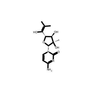 CC(C)=C(O)[C@H]1O[C@@H](n2ccc(N)nc2=O)[C@](C)(O)[C@@H]1O